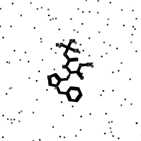 COC(=O)[C@H](Cc1cncn1Cc1ccccc1)NC(=O)OC(C)(C)C